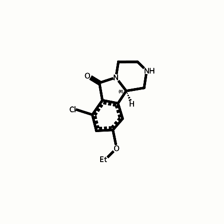 CCOc1cc(Cl)c2c(c1)[C@@H]1CNCCN1C2=O